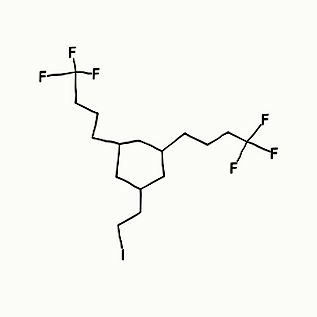 FC(F)(F)CCCC1CC(CCI)CC(CCCC(F)(F)F)C1